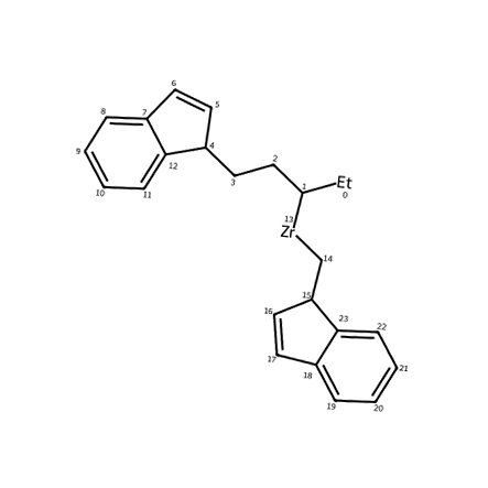 CC[CH](CCC1C=Cc2ccccc21)[Zr][CH2]C1C=Cc2ccccc21